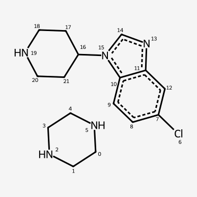 C1CNCCN1.Clc1ccc2c(c1)ncn2C1CCNCC1